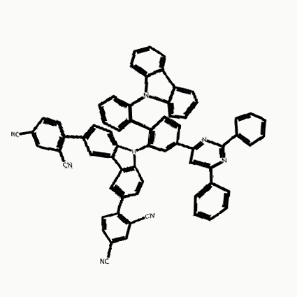 N#Cc1ccc(-c2ccc3c(c2)c2cc(-c4ccc(C#N)cc4C#N)ccc2n3-c2cc(-c3cc(-c4ccccc4)nc(-c4ccccc4)n3)ccc2-c2ccccc2-n2c3ccccc3c3ccccc32)c(C#N)c1